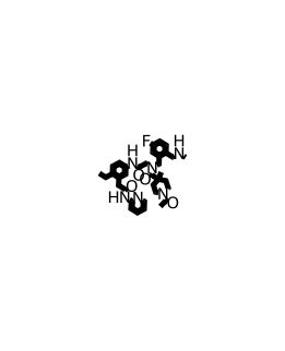 CCc1ccc(NC(=O)CN(Cc2cc(F)ccc2CNC)C(=O)C2(C)CCN(C(C)=O)CC2)cc1CC(=O)Nc1ccccn1